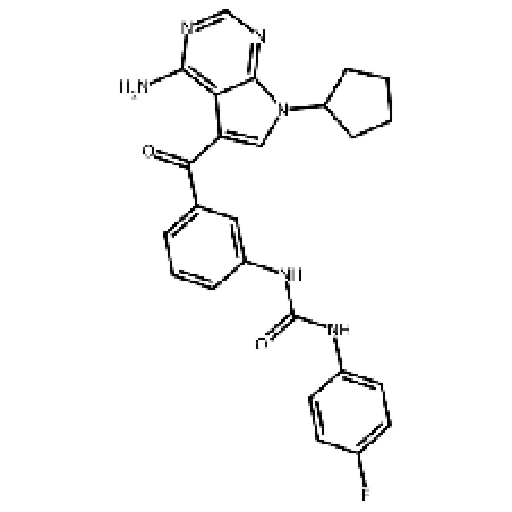 Nc1ncnc2c1c(C(=O)c1cccc(NC(=O)Nc3ccc(F)cc3)c1)cn2C1CCCC1